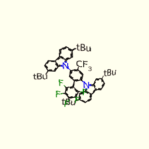 CC(C)(C)c1ccc2c3ccc(C(C)(C)C)cc3n(-c3cc(C(F)(F)F)c(-n4c5cc(C(C)(C)C)ccc5c5ccc(C(C)(C)C)cc54)cc3-c3c(F)c(F)c(F)c(F)c3F)c2c1